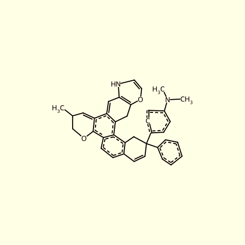 CC1C=c2c(c3ccc4c(c3c3c2=CC2=C(C3)OC=CN2)CC(c2ccccc2)(c2ccc(N(C)C)cc2)C=C4)OC1